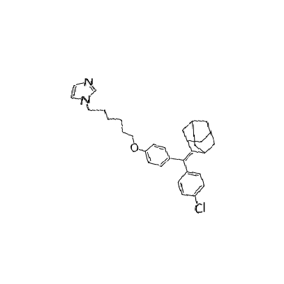 Clc1ccc(C(=C2C3CC4CC(C3)CC2C4)c2ccc(OCCCCCCn3ccnc3)cc2)cc1